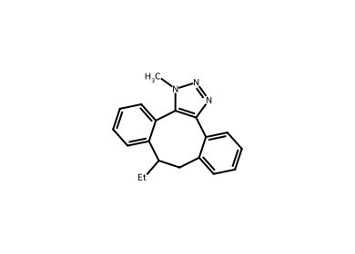 CCC1Cc2ccccc2-c2nnn(C)c2-c2ccccc21